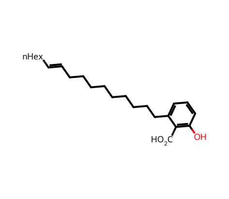 CCCCCCC=CCCCCCCCCCc1cccc(O)c1C(=O)O